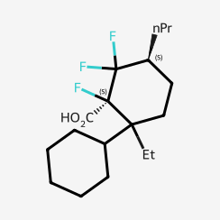 CCC[C@H]1CCC(CC)(C2CCCCC2)[C@](F)(C(=O)O)C1(F)F